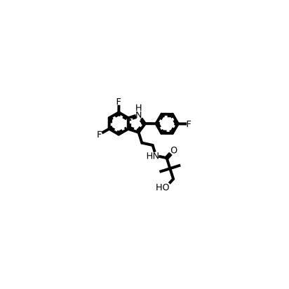 CC(C)(CO)C(=O)NCCc1c(-c2ccc(F)cc2)[nH]c2c(F)cc(F)cc12